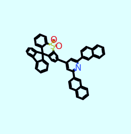 O=S1(=O)c2ccccc2C2(c3ccccc3-c3ccccc32)c2ccc(-c3cc(-c4ccc5ccccc5c4)nc(-c4ccc5ccccc5c4)c3)cc21